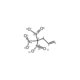 C=C[CH]C([N+](=O)[O-])([N+](=O)[O-])[N+](=O)[O-]